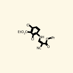 CCOC(=O)c1c(Cl)ccc(NC=C(C#N)C(=O)OC(C)C)c1Cl